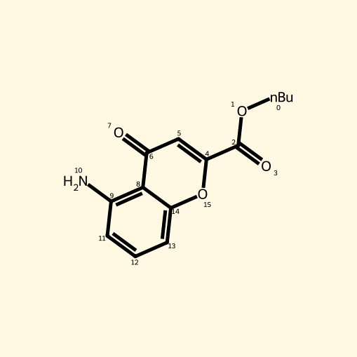 CCCCOC(=O)c1cc(=O)c2c(N)cccc2o1